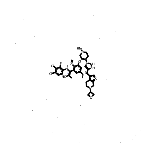 C=Nc1c(Cl)cc(N[C@H](C2=CN(C3CCN(C(C)(C)C)CC3)NN2)c2csc3c2CCN(C2COC2)C3)cc1/C(Nc1ccc(Cl)c(Cl)c1F)=C(\C)C#N